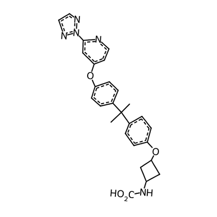 CC(C)(c1ccc(Oc2ccnc(-n3nccn3)c2)cc1)c1ccc(OC2CC(NC(=O)O)C2)cc1